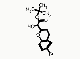 CC(C)(C)OC(=O)C(O)C1CCc2cc(Br)ccc2O1